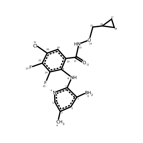 Bc1cc(C)cnc1Nc1c(C(=O)NOCC2CC2)cc(Cl)c(F)c1F